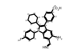 N=Cc1cc2c(cc1N)c(-c1ccc(C(=O)O)cc1)c(C1CCCCC1)n2C1C=CC(F)=CC1